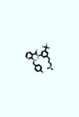 CN(C)CCCc1cc(NC(=O)c2cccnc2NCc2ccc(F)cc2)cc(C(F)(F)F)c1